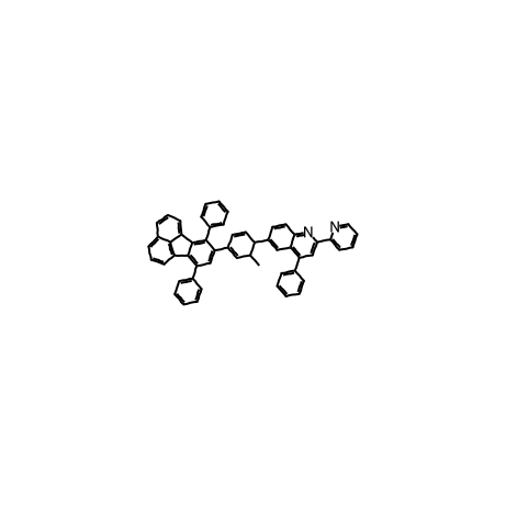 CC1C=C(c2cc(-c3ccccc3)c3c(c2-c2ccccc2)-c2cccc4cccc-3c24)C=CC1c1ccc2nc(-c3ccccn3)cc(-c3ccccc3)c2c1